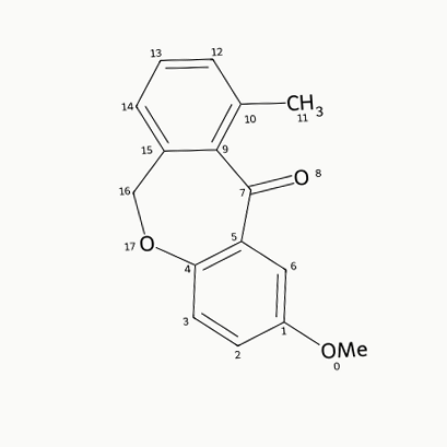 COc1ccc2c(c1)C(=O)c1c(C)cccc1CO2